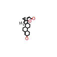 CC12CCC3C4CCC(=O)C=C4CCC3C1CC1(CC1)C21C=CC(=O)O1